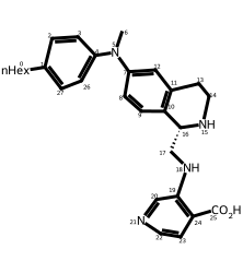 CCCCCCc1ccc(N(C)c2ccc3c(c2)CCN[C@@H]3CNc2cnccc2C(=O)O)cc1